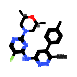 CNc1nnc(Nc2nc(N3C[C@@H](C)O[C@@H](C)C3)ncc2F)cc1-c1ccc(C)cc1